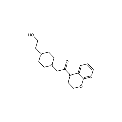 O=C(CN1CCN(CCO)CC1)N1CCOc2ncccc21